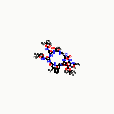 CCCCO[C@H](C)[C@H](NC(C)=O)C(=O)NOC(=O)N[C@H]1CCNC(=O)[C@H]([C@@H](C)O)NC(=O)[C@H](CCNC(=O)OC(C)(C)C)NC(=O)[C@H](CCNC(=O)OC(C)(C)C)NC(=O)[C@H](CC(C)C)NC(=O)[C@@H](Cc2ccccc2)NC(=O)[C@H](CCNC(=O)OC(C)(C)C)NC1=O